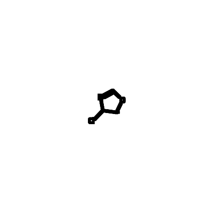 ClC1[CH]OC=N1